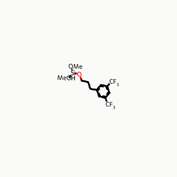 CO[SiH](OC)OCCCc1cc(C(F)(F)F)cc(C(F)(F)F)c1